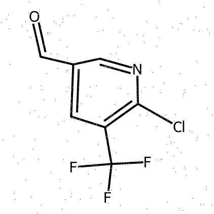 O=Cc1cnc(Cl)c(C(F)(F)F)c1